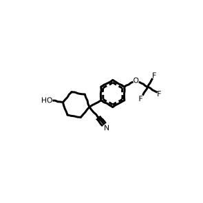 N#CC1(c2ccc(OC(F)(F)F)cc2)CCC(O)CC1